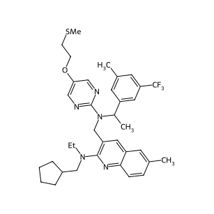 CCN(CC1CCCC1)c1nc2ccc(C)cc2cc1CN(c1ncc(OCCSC)cn1)C(C)c1cc(C)cc(C(F)(F)F)c1